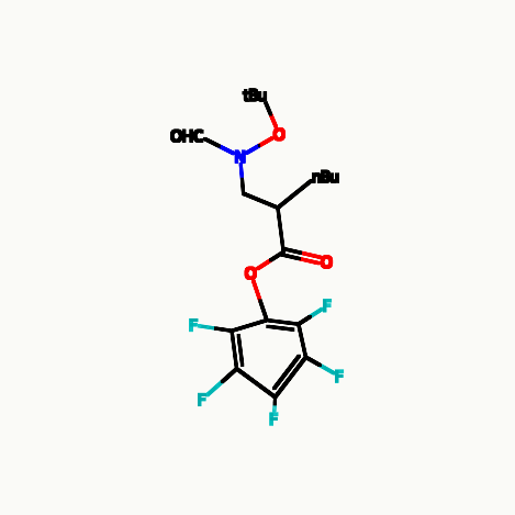 CCCCC(CN(C=O)OC(C)(C)C)C(=O)Oc1c(F)c(F)c(F)c(F)c1F